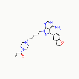 C=CC(=O)N1CCN(CCCCCn2nc(-c3ccc4c(c3)CCO4)c3c(N)ncnc32)CC1